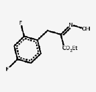 CCOC(=O)/C(Cc1ccc(F)cc1F)=N\O